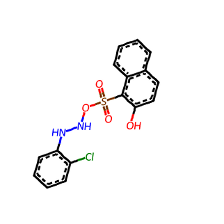 O=S(=O)(ONNc1ccccc1Cl)c1c(O)ccc2ccccc12